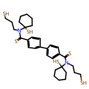 S=C(c1ccc(-c2ccc(C(=S)N(CCCS)C3(S)CCCCC3)cc2)cc1)N(CCCS)C1(S)CCCCC1